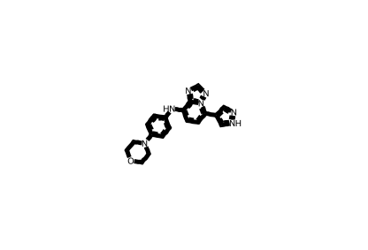 c1nc2c(Nc3ccc(N4CCOCC4)cc3)ccc(-c3cn[nH]c3)n2n1